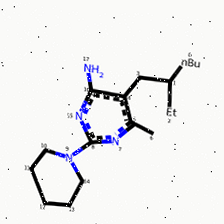 CCCCC(CC)Cc1c(C)nc(N2CCCCC2)nc1N